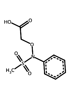 CS(=O)(=O)N(OCC(=O)O)c1ccccc1